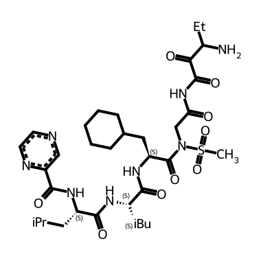 CCC(N)C(=O)C(=O)NC(=O)CN(C(=O)[C@H](CC1CCCCC1)NC(=O)[C@@H](NC(=O)[C@H](CC(C)C)NC(=O)c1cnccn1)[C@@H](C)CC)S(C)(=O)=O